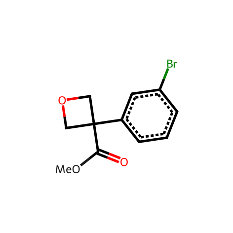 COC(=O)C1(c2cccc(Br)c2)COC1